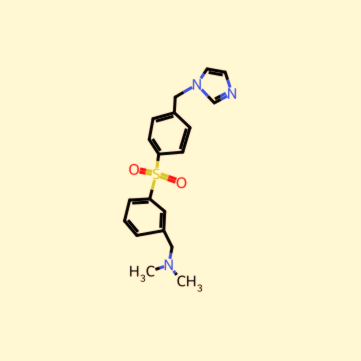 CN(C)Cc1cccc(S(=O)(=O)c2ccc(Cn3ccnc3)cc2)c1